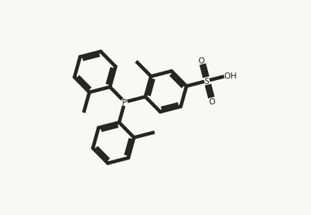 Cc1ccccc1P(c1ccccc1C)c1ccc(S(=O)(=O)O)cc1C